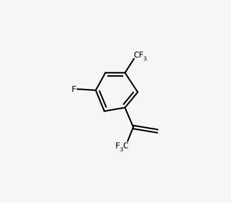 C=C(c1cc(F)cc(C(F)(F)F)c1)C(F)(F)F